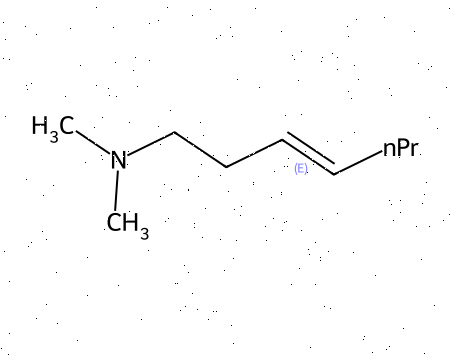 CCC/C=C/CCN(C)C